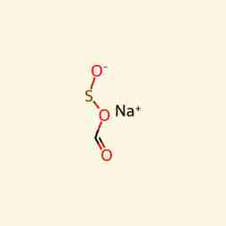 O=COS[O-].[Na+]